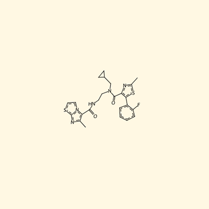 Cc1nc(C(=O)N(CCNC(=O)c2c(C)nc3sccn23)CC2CC2)c(-c2ccccc2F)s1